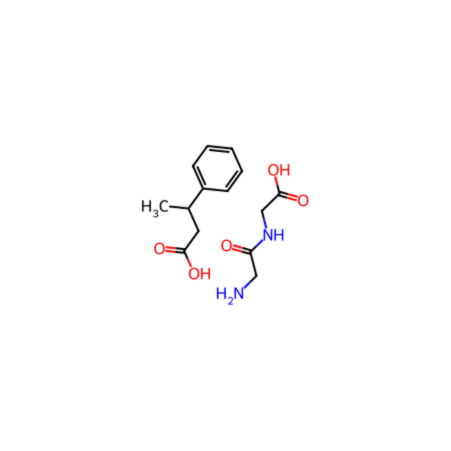 CC(CC(=O)O)c1ccccc1.NCC(=O)NCC(=O)O